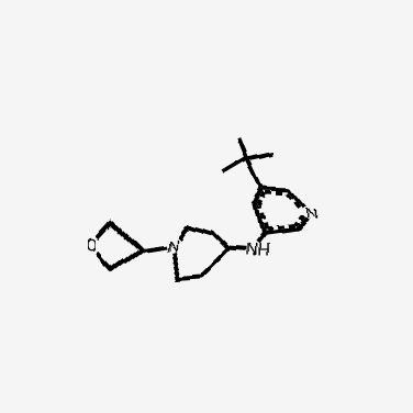 CC(C)(C)c1cncc(NC2CCN(C3COC3)CC2)c1